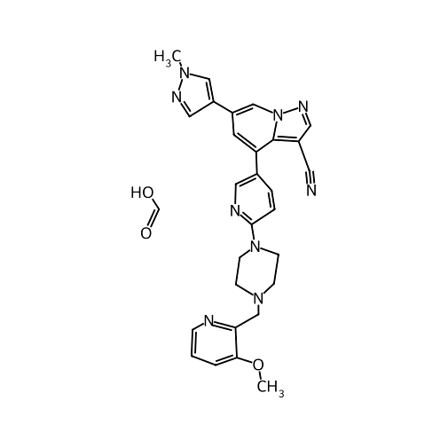 COc1cccnc1CN1CCN(c2ccc(-c3cc(-c4cnn(C)c4)cn4ncc(C#N)c34)cn2)CC1.O=CO